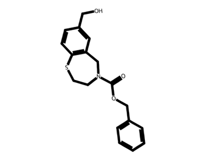 O=C(OCc1ccccc1)N1CCSc2ccc(CO)cc2C1